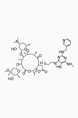 CO[C@]1(C)C[C@@H](C)C(=O)[C@H](C)[C@H]2[C@H](SCCn3cnc4c(N)nc(NCc5cccnc5)nc43)C(=O)O[C@]2(C)[C@@H](I)OC(=O)[C@H](C)[C@@H](O[C@H]2C[C@@](C)(OC)[C@@H](O)[C@H](C)O2)C(C)[C@H]1O[C@@H]1O[C@H](C)C[C@H](N(C)C)[C@H]1O